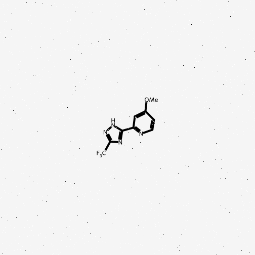 COc1ccnc(-c2nc(C(F)(F)F)n[nH]2)c1